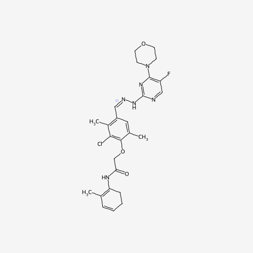 CC1=C(NC(=O)COc2c(C)cc(/C=N\Nc3ncc(F)c(N4CCOCC4)n3)c(C)c2Cl)CCC=C1